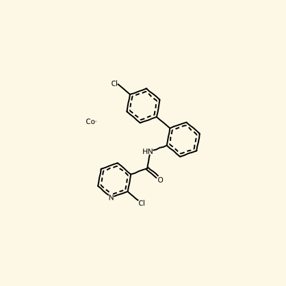 O=C(Nc1ccccc1-c1ccc(Cl)cc1)c1cccnc1Cl.[Co]